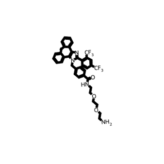 Cc1ccccc1-c1nc(-c2ccc(C(F)(F)F)cc2C(F)(F)F)n(Cc2ccc(C(=O)NCCOCCOCCN)cc2)c1-c1ccccc1C